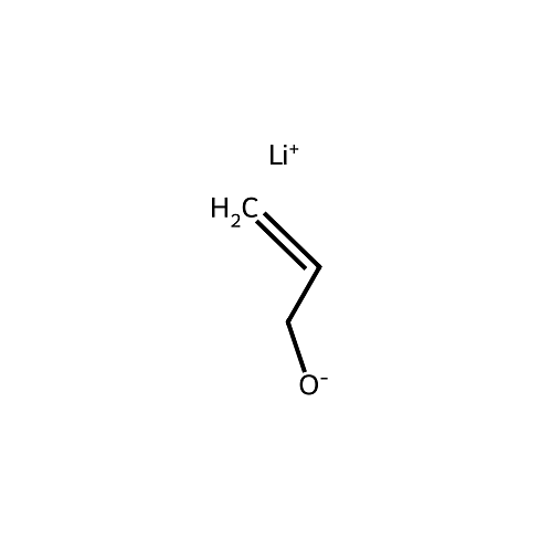 C=CC[O-].[Li+]